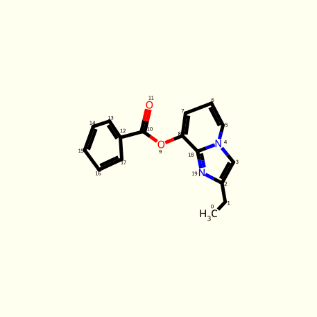 CCc1cn2cccc(OC(=O)c3ccccc3)c2n1